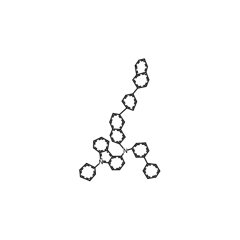 c1ccc(-c2cccc(N(c3ccc4ccc(-c5ccc(-c6ccc7ccccc7c6)cc5)cc4c3)c3cccc4c3c3ccccc3n4-c3ccccc3)c2)cc1